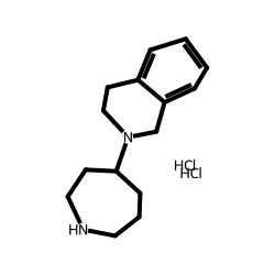 Cl.Cl.c1ccc2c(c1)CCN(C1CCCNCC1)C2